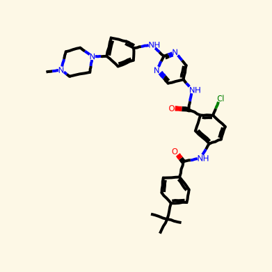 CN1CCN(c2ccc(Nc3ncc(NC(=O)c4cc(NC(=O)c5ccc(C(C)(C)C)cc5)ccc4Cl)cn3)cc2)CC1